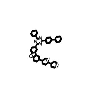 c1ccc(-c2ccc(-c3nc(-c4ccccc4)nc(-c4ccc5oc6ccc(-c7ccc(-c8ccncc8)nc7)cc6c5c4)n3)cc2)cc1